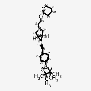 CC1(C)OB(c2ccc(C#C[C@@H]3[C@H]4CN(CCOC5CCCCO5)C[C@@H]34)cc2)OC1(C)C